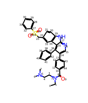 CCN(CCN(C)C)C(=O)c1ccc(-c2cnc3[nH]c4ccc(CS(=O)(=O)c5ccccc5)cc4c3c2-c2ccccc2)cc1